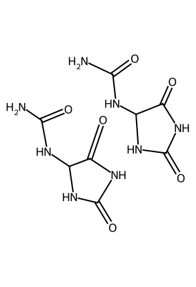 NC(=O)NC1NC(=O)NC1=O.NC(=O)NC1NC(=O)NC1=O